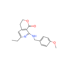 CCc1cc2c(c(NCc3ccc(OC)cc3)n1)C(=O)OCC2